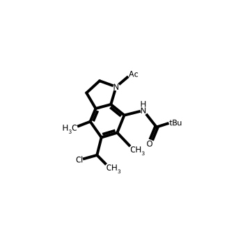 CC(=O)N1CCc2c(C)c(C(C)Cl)c(C)c(NC(=O)C(C)(C)C)c21